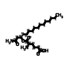 CCCCCCCCCCCCC[C@@H](CC(N)=O)OC(=O)[C@@H](N)CCCC(=O)O